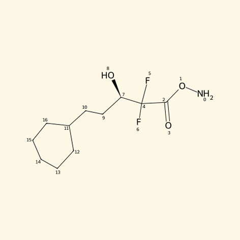 NOC(=O)C(F)(F)[C@H](O)CCC1CCCCC1